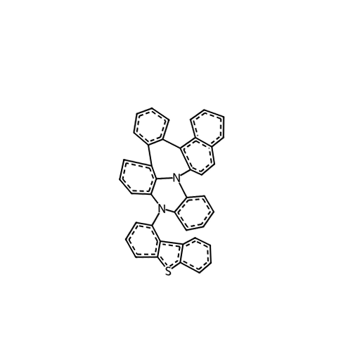 c1ccc2c(c1)-c1cccc3c1N(c1ccccc1N3c1cccc3sc4ccccc4c13)c1ccc3ccccc3c1-2